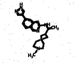 C=C(Nc1cc2cc(-c3cn[nH]c3)ccc2cn1)C1CC2(CCN(C)CC2)C1